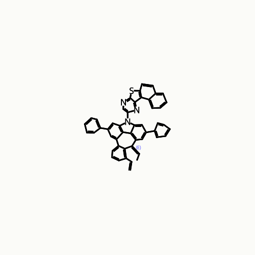 C=Cc1cccc2c1/C(=C\C)c1cc(-c3ccccc3)cc3c1c1c-2cc(-c2ccccc2)cc1n3-c1cnc2sc3ccc4ccccc4c3c2n1